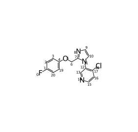 Fc1ccc(OCc2nccn2-c2cnccc2Cl)cc1